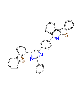 c1ccc(-c2nc(-c3ccc(-c4nc5sc6ccccc6c5c5ccccc45)cc3)cc(-c3cccc4c3sc3ccccc34)n2)cc1